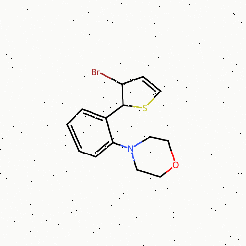 Br[C]1C=CSC1c1ccccc1N1CCOCC1